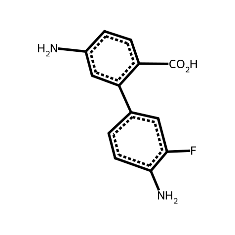 Nc1ccc(C(=O)O)c(-c2ccc(N)c(F)c2)c1